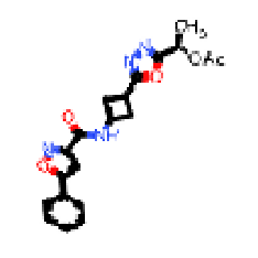 CC(=O)O[C@H](C)c1nnc(C2CC(NC(=O)c3cc(-c4ccccc4)on3)C2)o1